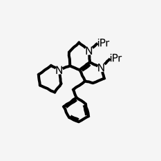 CC(C)N1CCC(Cc2ccccc2)C2=C1N(C(C)C)CCC2N1CCCCC1